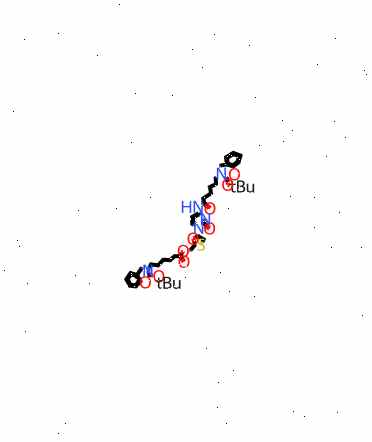 CC(C)(C)OC(=O)N(CCCCCC(=O)Nc1ccn(C2CSC(COC(=O)CCCCCN(Cc3ccccc3)C(=O)OC(C)(C)C)O2)c(=O)n1)Cc1ccccc1